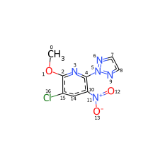 COc1nc(-n2nccn2)c([N+](=O)[O-])cc1Cl